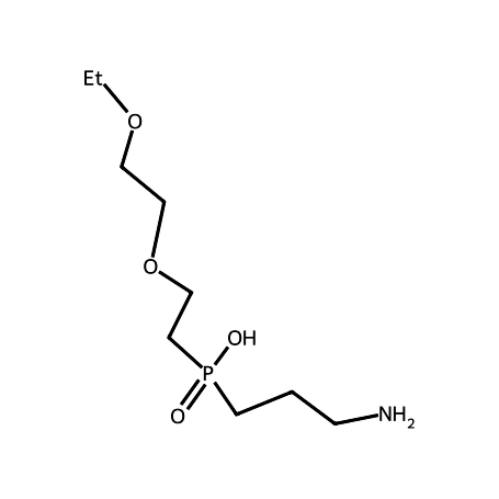 CCOCCOCCP(=O)(O)CCCN